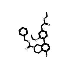 CCOC(=O)Cc1ccc(-c2ccc(F)c3c2CN(C(=O)OCc2ccccc2)CC3)c(OCC)c1